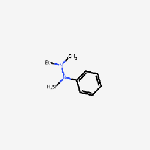 CCN(C)N([SiH3])c1ccccc1